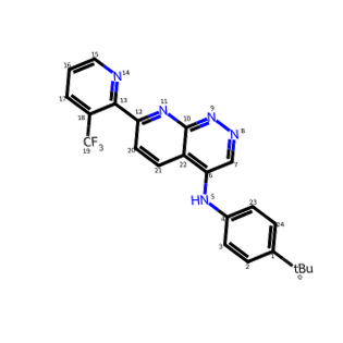 CC(C)(C)c1ccc(Nc2cnnc3nc(-c4ncccc4C(F)(F)F)ccc23)cc1